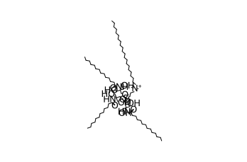 CCCCCCCCCCCCCCCCCCCCCC[N+](C)(C)CCC[Si](OCC(CO)(CO)NC(=O)CCCCCCCCCCC)(OCC(CO)(CO)NC(=O)CCCCCCCCCCCCC)OCC(CO)(CO)NC(=O)CCCCCCCCCCCCC